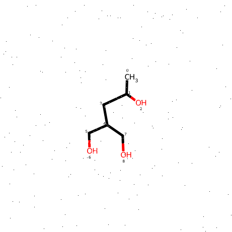 CC(O)CC(CO)CO